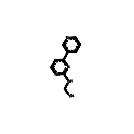 CC(C)(C)CNc1nccc(-c2cccnc2)n1